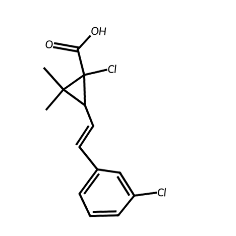 CC1(C)C(C=Cc2cccc(Cl)c2)C1(Cl)C(=O)O